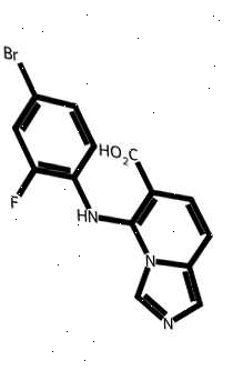 O=C(O)c1ccc2cncn2c1Nc1ccc(Br)cc1F